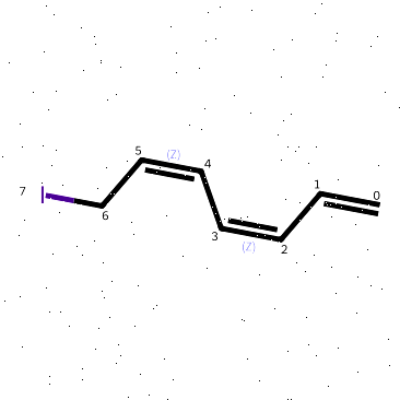 C=C/C=C\C=C/CI